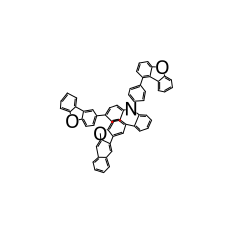 c1ccc(N(c2ccc(-c3ccc4oc5ccccc5c4c3)cc2)c2ccc(-c3cccc4oc5ccccc5c34)cc2)c(-c2ccc3oc4cc5ccccc5cc4c3c2)c1